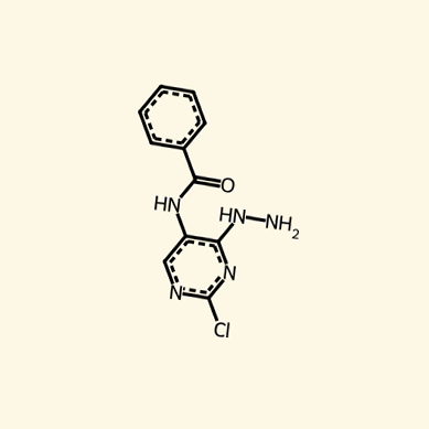 NNc1nc(Cl)ncc1NC(=O)c1ccccc1